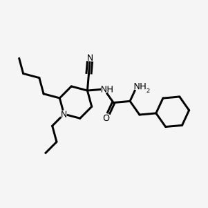 CCCCC1CC(C#N)(NC(=O)C(N)CC2CCCCC2)CCN1CCC